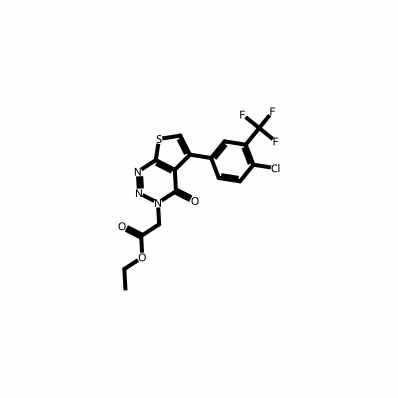 CCOC(=O)Cn1nnc2scc(-c3ccc(Cl)c(C(F)(F)F)c3)c2c1=O